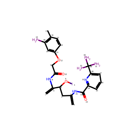 C=C(CC(OI)C(=C)NC(=O)COc1ccc(C)c(P)c1)NC(=O)c1cccc(C(P)(P)P)n1